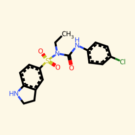 CCN(C(=O)Nc1ccc(Cl)cc1)S(=O)(=O)c1ccc2c(c1)CCN2